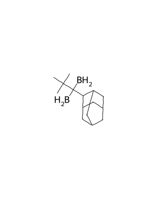 BC(B)(C1C2CC3CC(C2)CC1C3)C(C)(C)C